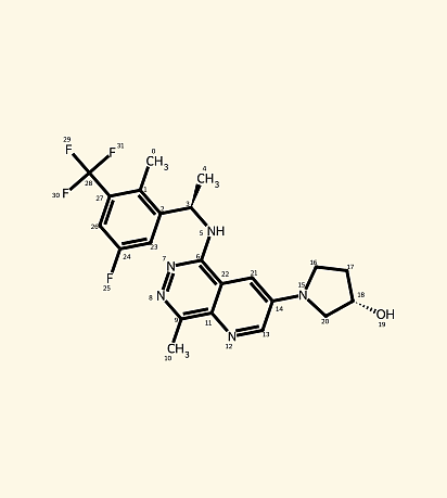 Cc1c([C@@H](C)Nc2nnc(C)c3ncc(N4CC[C@H](O)C4)cc23)cc(F)cc1C(F)(F)F